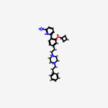 Nc1cccc(-c2ccc(CCN3CCN(CCc4ccccc4)CC3)cc2OC2CCC2)n1